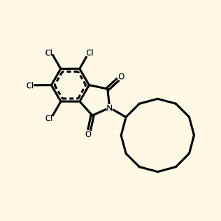 O=C1c2c(Cl)c(Cl)c(Cl)c(Cl)c2C(=O)N1C1CCCCCCCCCCC1